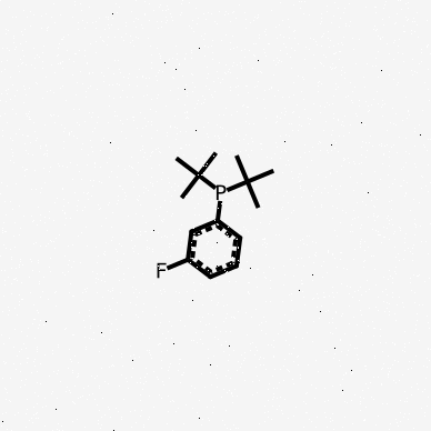 CC(C)(C)P(c1cccc(F)c1)C(C)(C)C